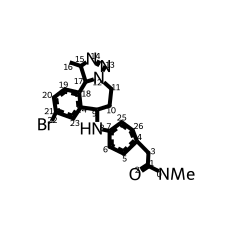 CNC(=O)Cc1ccc(NC2CCN3N=NC(C)C3c3ccc(Br)cc32)cc1